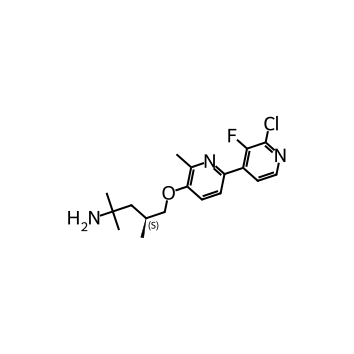 Cc1nc(-c2ccnc(Cl)c2F)ccc1OC[C@@H](C)CC(C)(C)N